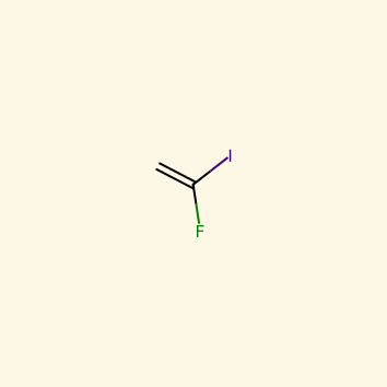 C=C(F)I